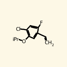 C=Cc1cc(OC(C)C)c(Cl)cc1F